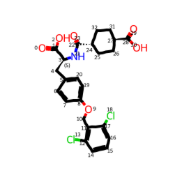 O=C(O)[C@H](Cc1ccc(OCc2c(Cl)cccc2Cl)cc1)NC(=O)[C@H]1CC[C@H](C(=O)O)CC1